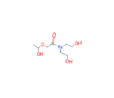 CC(O)OCC(=O)N(CCO)CCO